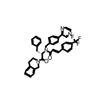 O=C([C@H](Cc1ccccc1)N(Cc1ccc(-c2cnccn2)cc1)C(=O)/C=C/c1ccc(C(F)(F)F)cc1)N1CCc2ccccc2C1